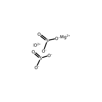 O=S([O-])[O-].O=S([O-])[O-].[Mg+2].[O+2]